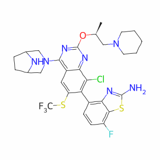 C[C@@H](CN1CCCCC1)Oc1nc(N2CC3CCC(C2)N3)c2cc(SC(F)(F)F)c(-c3ccc(F)c4sc(N)nc34)c(Cl)c2n1